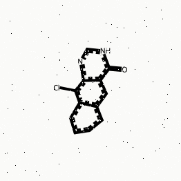 O=c1[nH]cnc2c(Cl)c3ccccc3cc12